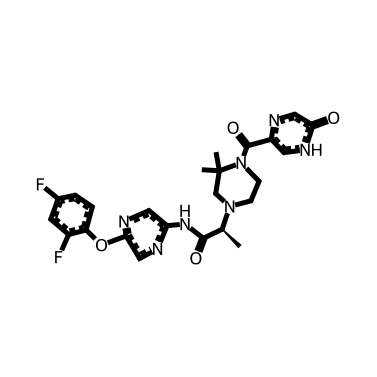 C[C@@H](C(=O)Nc1cnc(Oc2ccc(F)cc2F)cn1)N1CCN(C(=O)c2c[nH]c(=O)cn2)C(C)(C)C1